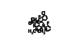 CN(C)c1nc([S+](C)[O-])nc2c1C(=O)N(c1ncccc1F)CC2(C)c1cccc(Cl)c1F